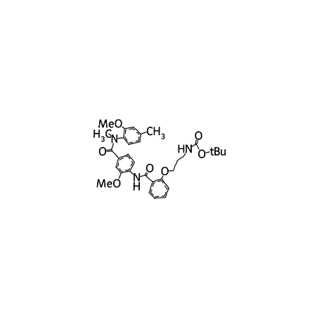 COc1cc(C(=O)N(C)c2ccc(C)cc2OC)ccc1NC(=O)c1ccccc1OCCCNC(=O)OC(C)(C)C